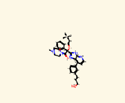 CN1CCN(C(=O)C(OCC[Si](C)(C)C)(c2ccccc2)c2nc3c(-c4cccc(CCCO)c4)ccnc3[nH]2)CC1